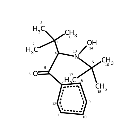 CC(C)(C)C(C(=O)c1ccccc1)N(O)C(C)(C)C